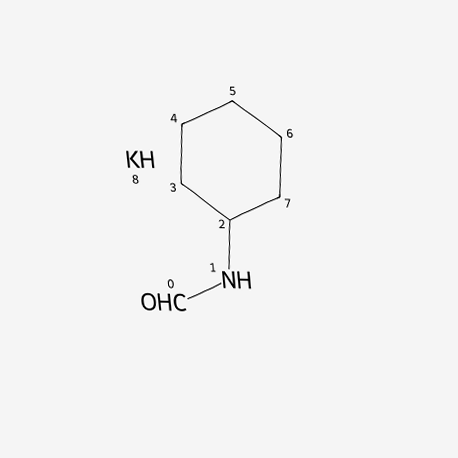 O=CNC1CCCCC1.[KH]